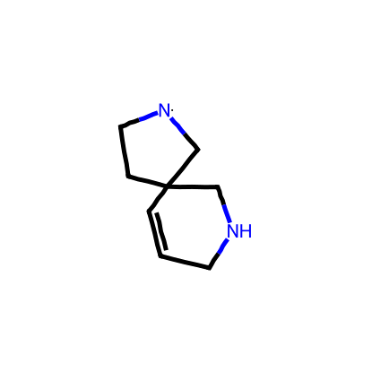 C1=CC2(CC[N]C2)CNC1